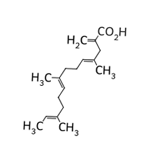 C=C(CC(C)=CCCC(C)=CCCC(C)=CC)C(=O)O